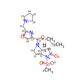 CC(C)[C@@H]1C(=O)N(S(C)(=O)=O)C2=CCN(C(=O)c3coc(CN4CCCC4)n3)[C@H]21